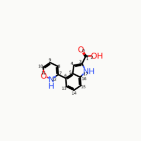 O=C(O)c1cc2c(C3=CC=CON3)cccc2[nH]1